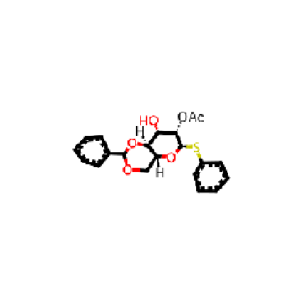 CC(=O)O[C@H]1[C@@H](O)[C@@H]2OC(c3ccccc3)OC[C@H]2O[C@@H]1Sc1ccccc1